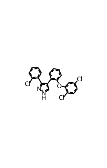 Clc1ccc(Cl)c(Oc2ccccc2-c2c[nH]nc2-c2ccccc2Cl)c1